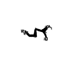 C=C(Cl)CCN